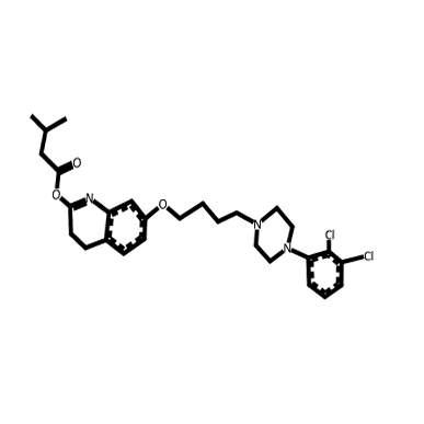 CC(C)CC(=O)OC1=Nc2cc(OCCCCN3CCN(c4cccc(Cl)c4Cl)CC3)ccc2CC1